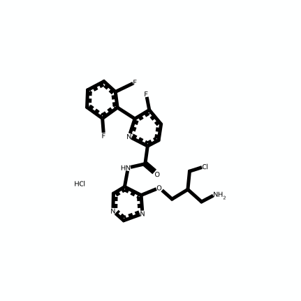 Cl.NCC(CCl)COc1ncncc1NC(=O)c1ccc(F)c(-c2c(F)cccc2F)n1